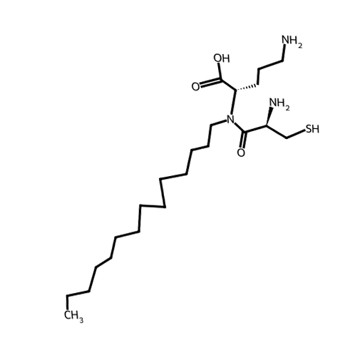 CCCCCCCCCCCCCCN(C(=O)[C@@H](N)CS)[C@@H](CCCN)C(=O)O